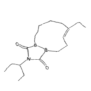 CC/C1=C\CCB2B(CCCC1)C(=O)N(C(CC)CC)C2=O